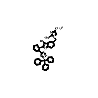 CCCCc1nc(C(=O)O)cn1Cc1ccc2oc(-c3ccccc3-c3nnn(C(c4ccccc4)(c4ccccc4)c4ccccc4)n3)c(Br)c2c1